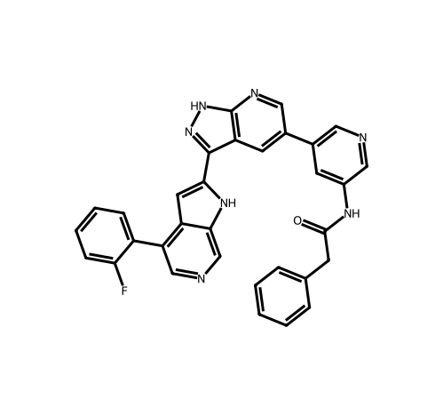 O=C(Cc1ccccc1)Nc1cncc(-c2cnc3[nH]nc(-c4cc5c(-c6ccccc6F)cncc5[nH]4)c3c2)c1